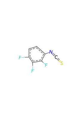 Fc1ccc(N=C=S)c(F)c1F